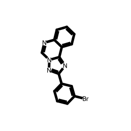 Brc1cccc(-c2nc3c4ccccc4ncn3n2)c1